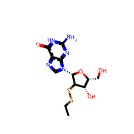 CCSSC1[C@@H](O)[C@@H](CO)O[C@H]1n1cnc2c(=O)[nH]c(N)nc21